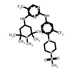 CN1C(C)(C)CC(Nc2nc(Nc3ccc(N4CCN(S(C)(=O)=O)CC4)c(C(F)(F)F)c3)ncc2C(F)(F)F)CC1(C)C